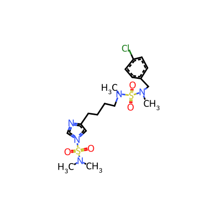 CN(CCCCc1cn(S(=O)(=O)N(C)C)cn1)S(=O)(=O)N(C)Cc1ccc(Cl)cc1